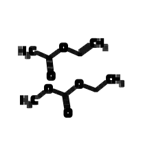 C=COC(C)=O.CCOC(=O)OC